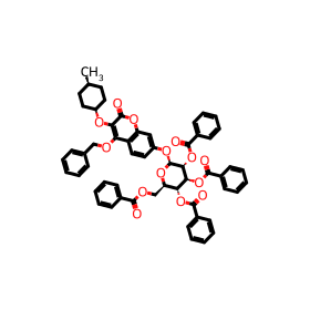 C[C@H]1CC[C@@H](Oc2c(OCc3ccccc3)c3ccc(O[C@@H]4O[C@H](COC(=O)c5ccccc5)[C@@H](OC(=O)c5ccccc5)[C@H](OC(=O)c5ccccc5)[C@H]4OC(=O)c4ccccc4)cc3oc2=O)CC1